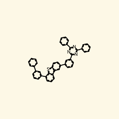 c1ccc(-c2cccc(-c3cccc4c3sc3ccc(-c5cccc(-c6nc(-c7ccccc7)nc(-c7ccccc7)n6)c5)cc34)c2)cc1